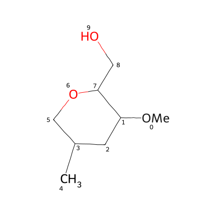 COC1CC(C)COC1CO